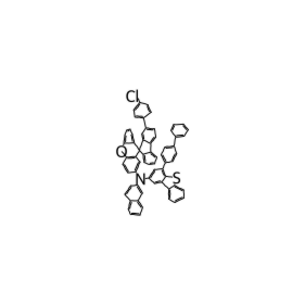 Clc1ccc(-c2ccc3c(c2)C2(c4ccccc4Oc4ccc(N(c5ccc6ccccc6c5)c5cc(-c6ccc(-c7ccccc7)cc6)c6sc7ccccc7c6c5)cc42)c2ccccc2-3)cc1